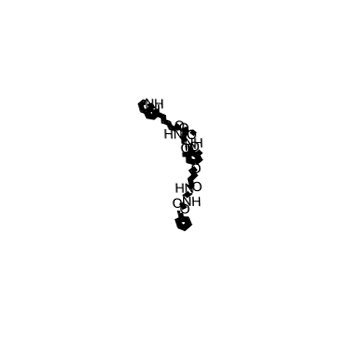 COC(=O)C(CNS(=O)(=O)c1c(C)cc(OCCCC(=O)NCCNC(=O)OCc2ccccc2)cc1C)NC(=O)CCCCc1ccc2c(n1)NCCC2